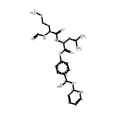 CSCCC(NC=O)C(=O)NC(CC(C)C)C(=O)Oc1ccc(C(O)SC2C=CC=CN2)cc1